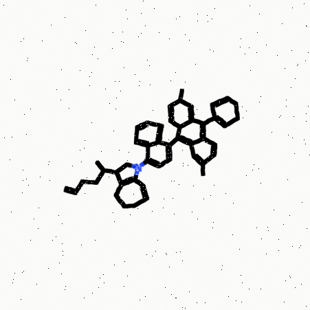 C=CCCC(C)C1CN(c2ccc(C3=c4cc(C)ccc4=C(C4=CCCC=C4)C4=CC(C)C=CC43)c3ccccc23)C2=C1CCCC=C2